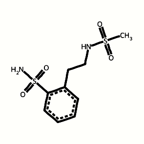 CS(=O)(=O)NCCc1ccccc1S(N)(=O)=O